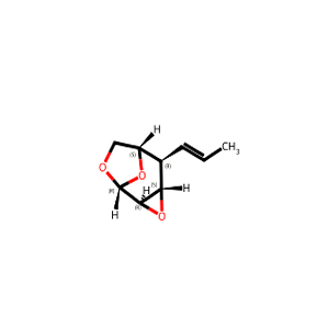 CC=C[C@H]1[C@@H]2O[C@H]2[C@@H]2OC[C@H]1O2